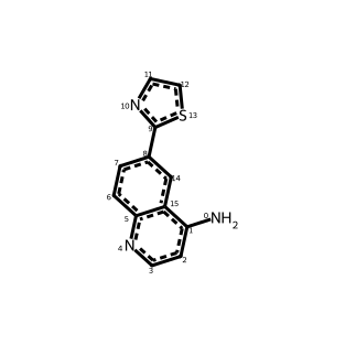 Nc1ccnc2ccc(-c3nccs3)cc12